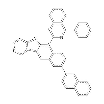 c1ccc(-c2nc(-n3c4nc5ccccc5c-4cc4cc(-c5ccc6ccccc6c5)ccc43)nc3ccccc23)cc1